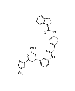 Cc1cc(C(=O)NC(CCC(=O)O)c2cccc(NC(=O)Cc3ccc(NC(=O)N4CCc5ccccc54)cc3)c2)no1